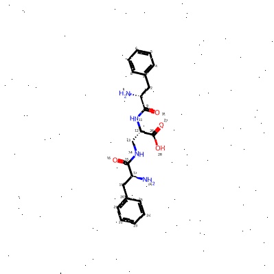 N[C@H](Cc1ccccc1)C(=O)N[C@@H](CNC(=O)[C@@H](N)Cc1ccccc1)C(=O)O